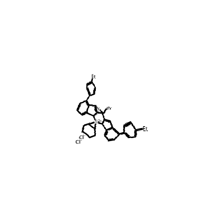 CCc1ccc(-c2cccc3c2C=C(CC(C)C)[CH]3[Ti+2]2([CH]3C(CC(C)C)=Cc4c(-c5ccc(CC)cc5)cccc43)[CH]3CCCC[CH]32)cc1.[Cl-].[Cl-]